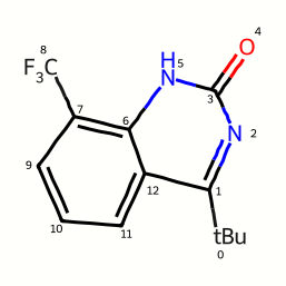 CC(C)(C)c1nc(=O)[nH]c2c(C(F)(F)F)cccc12